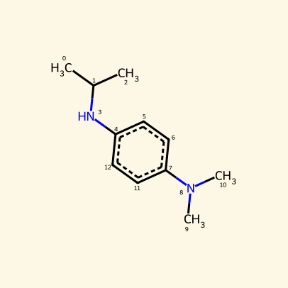 CC(C)Nc1ccc(N(C)C)cc1